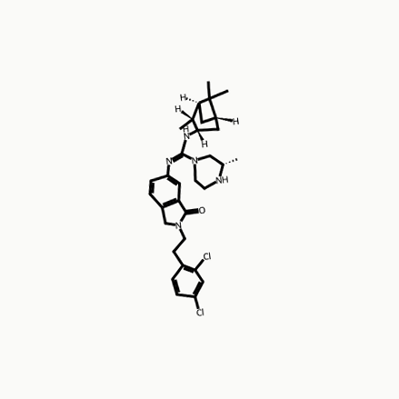 C[C@H]1[C@@H](NC(=Nc2ccc3c(c2)C(=O)N(CCc2ccc(Cl)cc2Cl)C3)N2CCN[C@@H](C)C2)C[C@@H]2C[C@@H]1C2(C)C